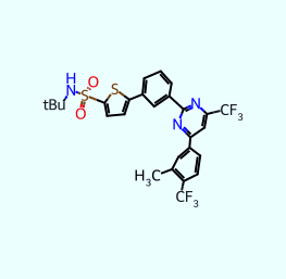 Cc1cc(-c2cc(C(F)(F)F)nc(-c3cccc(-c4ccc(S(=O)(=O)NC(C)(C)C)s4)c3)n2)ccc1C(F)(F)F